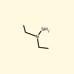 CCN([SiH2])CC